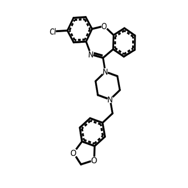 Clc1ccc2c(c1)N=C(N1CCN(Cc3ccc4c(c3)OCO4)CC1)c1ccccc1O2